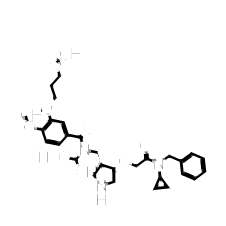 COCCCOc1cc(C(=O)N(C[C@@H]2CNC[C@H]2OCC(=O)N(Cc2ccccc2)C2CC2)C(C)C)ccc1OC